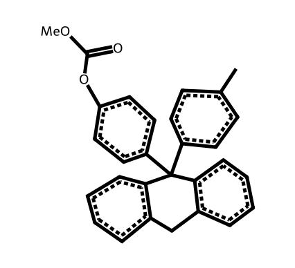 COC(=O)Oc1ccc(C2(c3ccc(C)cc3)c3ccccc3Cc3ccccc32)cc1